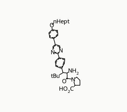 CCCCCCCOc1ccc(-c2cnc(-c3ccc(C(C(N)C(=O)N4CCCC4C(=O)O)C(C)(C)C)cc3)nc2)cc1